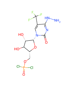 NNc1nc(=O)n([C@@H]2O[C@H](COP(=O)(Cl)Cl)C(O)[C@@H]2O)cc1C(F)(F)F